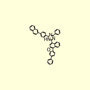 c1ccc(C2=NC(c3ccc(-c4ccc5ccccc5c4)cc3)NC(c3cc4oc5cc(-c6ccccc6)ccc5c4c4ccccc34)=N2)cc1